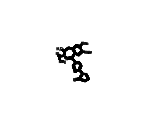 CNC(=O)N1N=C(c2ccc(N3CCCC3=O)cc2)c2cc(OC)c(OC)cc2CC1C